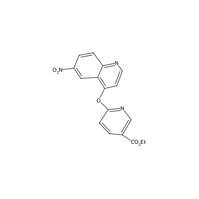 CCOC(=O)c1ccc(Oc2ccnc3ccc([N+](=O)[O-])cc23)nc1